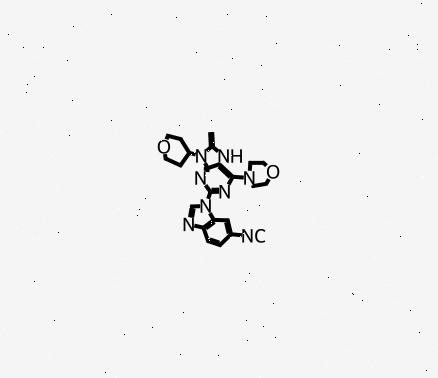 [C-]#[N+]c1ccc2ncn(-c3nc(N4CCOCC4)c4c(n3)N(C3CCOCC3)C(=C)N4)c2c1